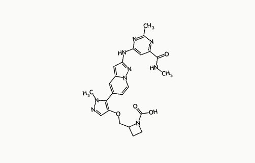 CNC(=O)c1cc(Nc2cc3cc(-c4c(OCC5CCN5C(=O)O)cnn4C)ccn3n2)nc(C)n1